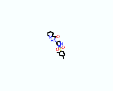 CC1=CC(C)C(S(=O)(=O)n2cc(NC(=O)c3ccccn3)cn2)C=C1